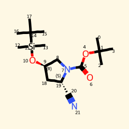 CC(C)(C)OC(=O)N1C[C@H](O[Si](C)(C)C(C)(C)C)C[C@H]1C#N